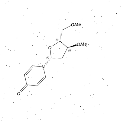 COC[C@H]1O[C@@H](n2ccc(=O)cc2)C[C@@H]1OC